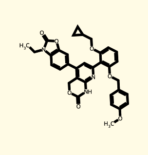 CCn1c(=O)oc2cc(-c3cc(-c4c(OCc5ccc(OC)cc5)cccc4OCC4CC4)nc4c3COC(=O)N4)ccc21